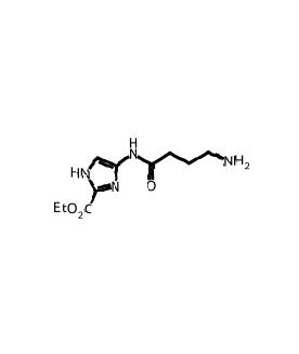 CCOC(=O)c1nc(NC(=O)CCCN)c[nH]1